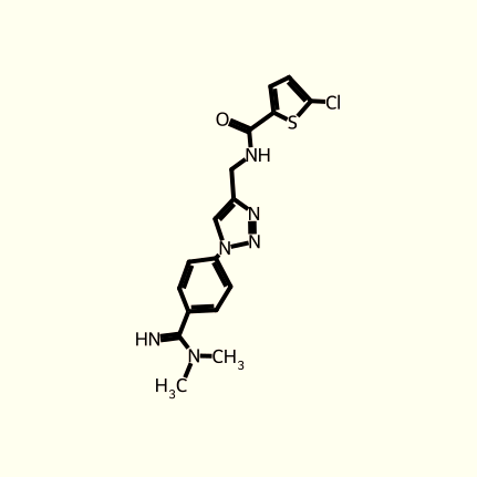 CN(C)C(=N)c1ccc(-n2cc(CNC(=O)c3ccc(Cl)s3)nn2)cc1